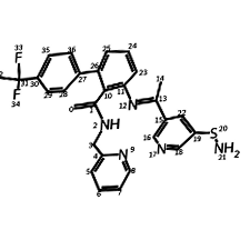 C=C(NCc1ccccn1)c1c(/N=C(\C)c2cncc(SN)c2)cccc1-c1ccc(C(C)(F)F)cc1